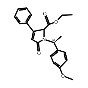 CCOC(=O)C1C(c2ccccc2)=CC(=O)N1[C@@H](C)c1ccc(OC)cc1